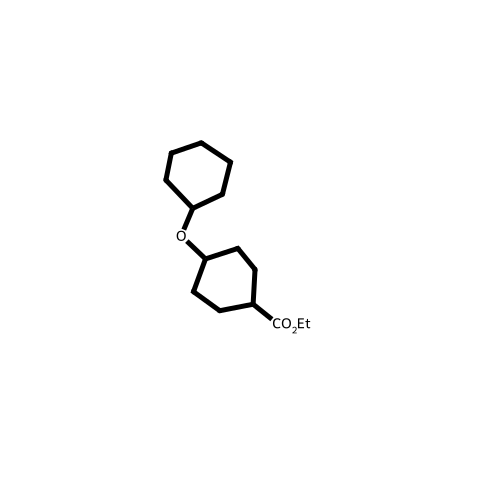 CCOC(=O)C1CCC(OC2CCCCC2)CC1